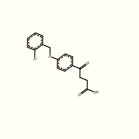 O=C(O)CCC(=O)c1ccc(OCc2ccccc2Cl)cc1